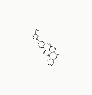 CC(C)(C)c1ccn(-c2ccc(C(=O)c3cccc4c3Nc3ncccc3CN4)c(C(F)(F)F)c2)n1